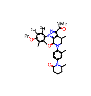 [2H]c1c([2H])c(-n2nc(C(=O)NC)c3c2C(=O)N(c2ccc(N4C(=O)CCCC4C)cc2C)CC3C)c(C)c(C)c1OC(C)C